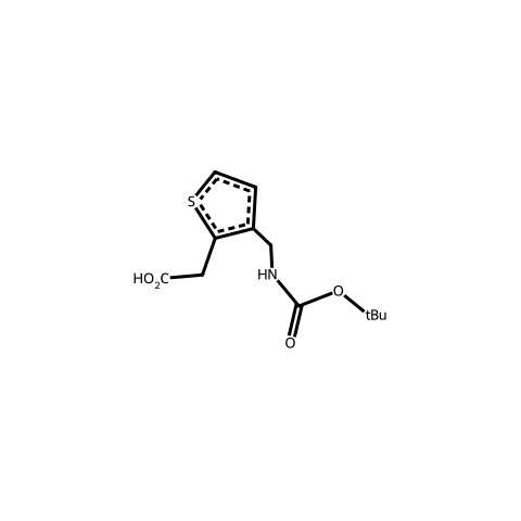 CC(C)(C)OC(=O)NCc1ccsc1CC(=O)O